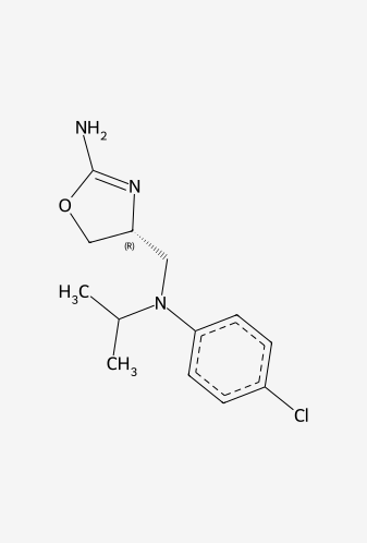 CC(C)N(C[C@@H]1COC(N)=N1)c1ccc(Cl)cc1